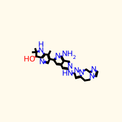 Cc1c(-c2cc3cc(Nc4cc5n(n4)Cc4nccn4CC5)ncc3c(N)n2)cnc2c1NC(C)(C)C2O